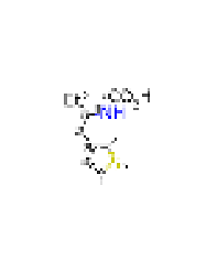 CCC(Cc1ccsc1)NC(=O)O